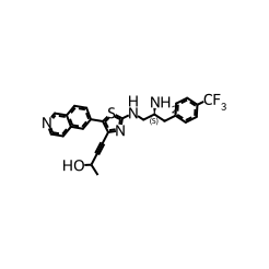 CC(O)C#Cc1nc(NC[C@@H](N)Cc2ccc(C(F)(F)F)cc2)sc1-c1ccc2cnccc2c1